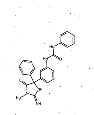 CN1C(=N)NC(c2ccccc2)(c2cccc(NC(=O)Nc3ccccc3)c2)C1=O